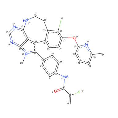 C=C(F)C(=O)Nc1ccc(-c2c3c4c(ncnc4n2C)NCCc2c-3ccc(Oc3cccc(C)n3)c2F)cc1